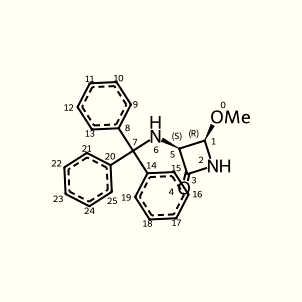 CO[C@H]1NC(=O)[C@H]1NC(c1ccccc1)(c1ccccc1)c1ccccc1